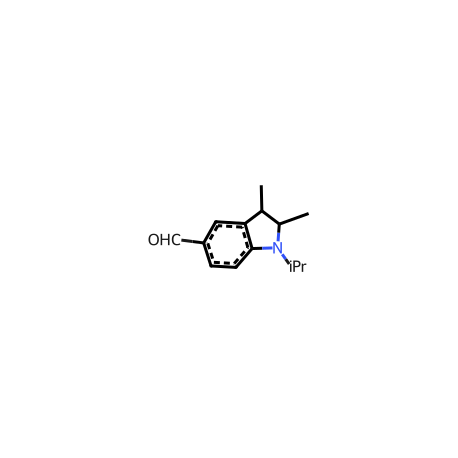 CC1c2cc(C=O)ccc2N(C(C)C)C1C